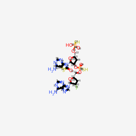 Nc1ncnc2c1ncn2[C@@H]1O[C@H](CO[P@](=O)(S)O[C@@H]2C[C@@H](CO[P@@](=O)(O)S)O[C@H]2n2c(=O)sc3c(N)ncnc32)C[C@H]1F